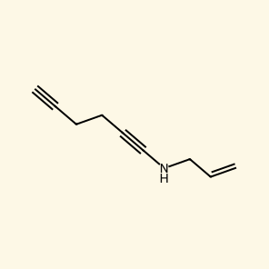 C#CCCC#CNCC=C